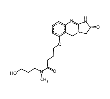 CN(CCCO)C(=O)CCCOc1cccc2c1CN1CC(=O)NC1=N2